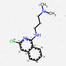 CN(C)CCCNc1nc(Cl)cc2ccccc12